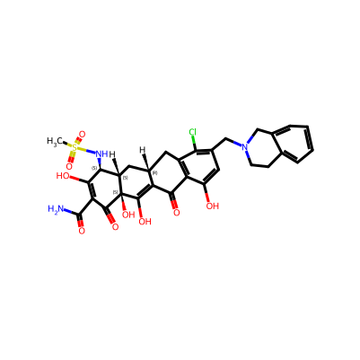 CS(=O)(=O)N[C@@H]1C(O)=C(C(N)=O)C(=O)[C@@]2(O)C(O)=C3C(=O)c4c(O)cc(CN5CCc6ccccc6C5)c(Cl)c4C[C@H]3C[C@@H]12